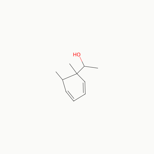 CC(O)C1(C)C=CC=CC1C